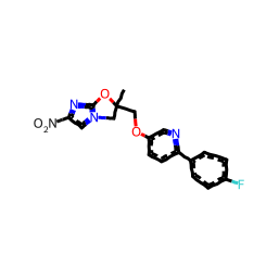 CC1(COc2ccc(-c3ccc(F)cc3)nc2)Cn2cc([N+](=O)[O-])nc2O1